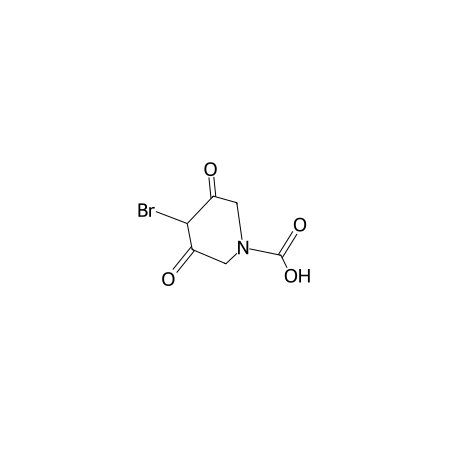 O=C1CN(C(=O)O)CC(=O)C1Br